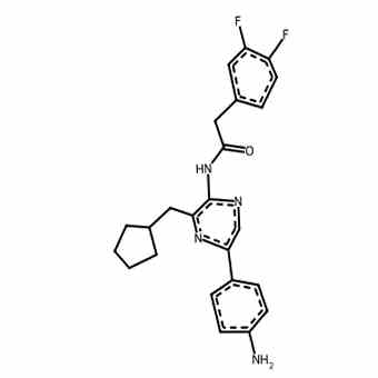 Nc1ccc(-c2cnc(NC(=O)Cc3ccc(F)c(F)c3)c(CC3CCCC3)n2)cc1